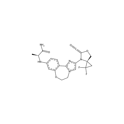 C[C@H](Nc1ccc2c(c1)OCCn1cc(N3C(=C=O)OC[C@]34CC4(F)F)nc1-2)C(N)=O